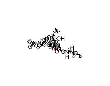 CC(=O)N1CCC[C@@H]1CO[P@@](=S)(OC[C@H]1O[C@@H](N2C=C3CCC4=C3C(=N2)C=NN(C(=O)c2ccccc2)C4)[C@H](F)[C@@H]1O[PH](=O)O)O[C@@H]1[C@H](O[Si](C)(C)C(C)(C)C)[C@@H](CO)O[C@H]1n1cnc2c(=O)n(CCOCNC(=O)CNC(=O)OCC[Si](C)(C)C)cnc21.CCN(CC)CC